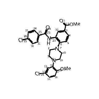 COC(=O)c1ccc(N2CCN(c3cc(Cl)ccc3OC)CC2)c(NC(=O)c2ccc(Cl)cc2)c1